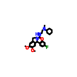 COc1cc2c(cc1OC)C(c1ccc(F)cc1)N(C(=O)NCCN(C)C1CCCCC1)CC2